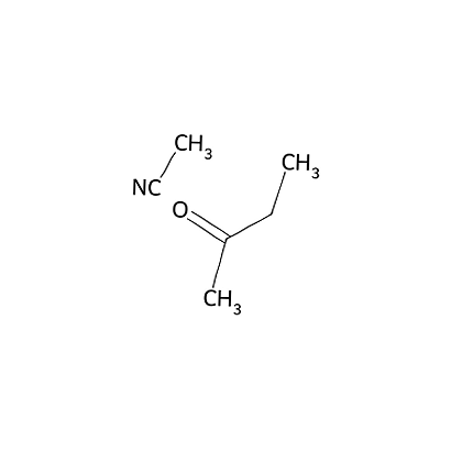 CC#N.CCC(C)=O